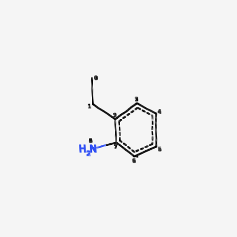 CCc1ccc[c]c1N